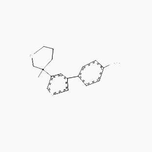 C[CH]C1(c2cncc(-c3ccc(OC)cc3)c2)CCCNC1